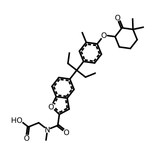 CCC(CC)(c1ccc(OC2CCCC(C)(C)C2=O)c(C)c1)c1ccc2oc(C(=O)N(C)CC(=O)O)cc2c1